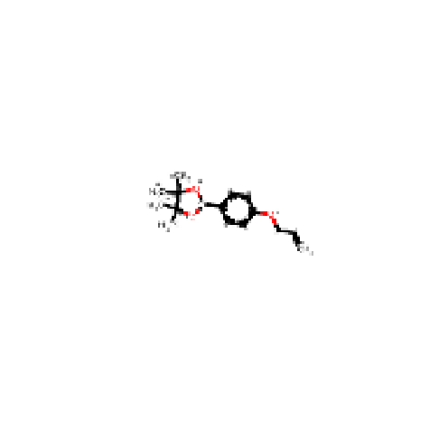 C=CCOc1ccc(B2OC(C)(C)C(C)(C)O2)cc1